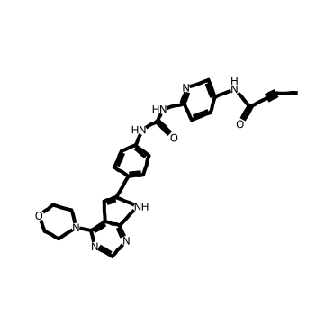 CC#CC(=O)Nc1ccc(NC(=O)Nc2ccc(-c3cc4c(N5CCOCC5)ncnc4[nH]3)cc2)nc1